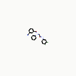 N#Cc1cccc(C(=O)N(CC(=O)Nc2ccc(Cl)c(Cl)c2)c2ccccc2)c1